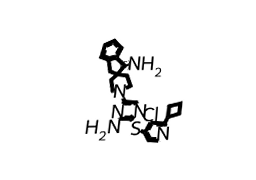 Nc1nc(N2CCC3(CC2)Cc2ccccc2[C@H]3N)cnc1Sc1ccnc(C2CCC2)c1Cl